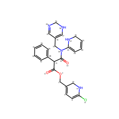 O=C(OCC1=CC=C(Cl)NC1)C(C(=O)N(CC1=CNCN=C1)C1=CC=CCN1)c1ccccc1